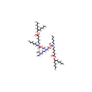 CCCCCCN(CCCCCC(=O)OCC(CCCCC)CCCCC)C(=O)OCCN(CCCN(CC)CC)CCOC(=O)N(CCCCCC)CCCCCC(=O)OCC(CCCCC)CCCCC